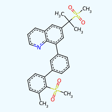 Cc1cccc(-c2cccc(-c3cc(C(C)(C)S(C)(=O)=O)cc4cccnc34)c2)c1S(C)(=O)=O